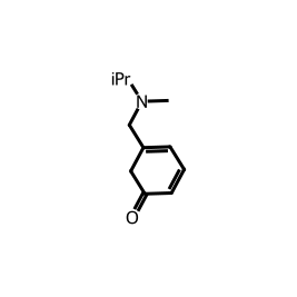 CC(C)N(C)CC1=CC=CC(=O)C1